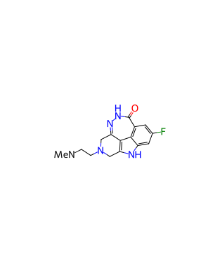 CNCCN1CC2=NNC(=O)c3cc(F)cc4[nH]c(c2c34)C1